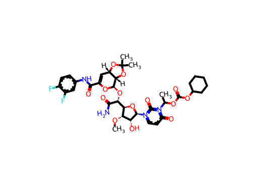 CO[C@H]1[C@@H](O)[C@H](n2ccc(=O)n(C(C)OC(=O)OC3CCCCC3)c2=O)O[C@@H]1[C@@H](O[C@H]1OC(C(=O)Nc2ccc(F)c(F)c2)=C[C@@H]2OC(C)(C)O[C@H]12)C(N)=O